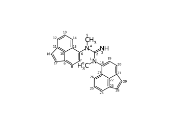 CN(C(=N)N(C)c1ccc2c3c(cccc13)C=C2)c1ccc2c3c(cccc13)C=C2